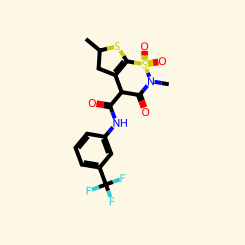 CC1CC2=C(S1)S(=O)(=O)N(C)C(=O)C2C(=O)Nc1cccc(C(F)(F)F)c1